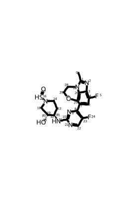 Cc1nc2c(F)cc(-c3nc(N[C@@H]4CCN([SH]=O)C[C@H]4O)ncc3F)c3c2n1CCO3